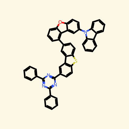 c1ccc(-c2nc(-c3ccccc3)nc(-c3ccc4sc5ccc(-c6cccc7oc8ccc(-n9c%10ccccc%10c%10ccccc%109)cc8c67)cc5c4c3)n2)cc1